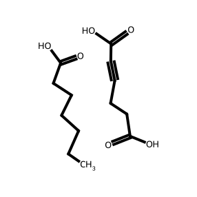 CCCCCCC(=O)O.O=C(O)C#CCCC(=O)O